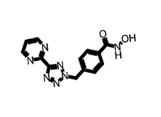 O=C(NO)c1ccc(Cn2nnc(-c3ncccn3)n2)cc1